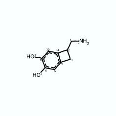 NCC1Cc2cc(O)c(O)cc21